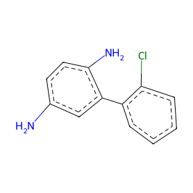 Nc1ccc(N)c(-c2ccccc2Cl)c1